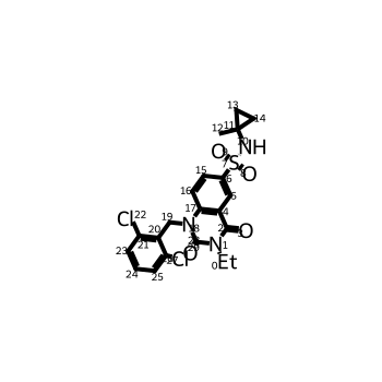 CCn1c(=O)c2cc(S(=O)(=O)NC3(C)CC3)ccc2n(Cc2c(Cl)cccc2Cl)c1=O